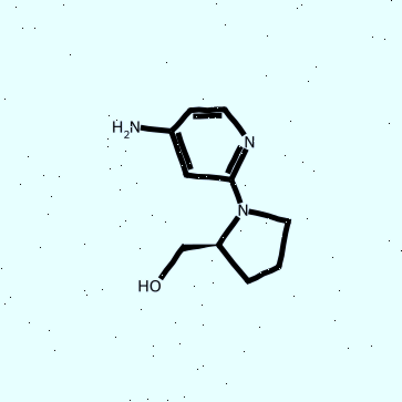 Nc1ccnc(N2CCC[C@H]2CO)c1